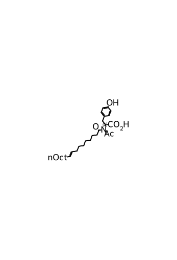 CCCCCCCCC=CCCCCCCCC(=O)N(C(C)=O)[C@@H](Cc1ccc(O)cc1)C(=O)O